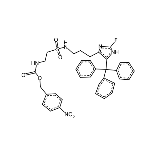 O=C(NCCS(=O)(=O)NCCCc1nc(F)[nH]c1C(c1ccccc1)(c1ccccc1)c1ccccc1)OCc1ccc([N+](=O)[O-])cc1